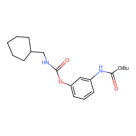 CC(C)COC(=O)Nc1cccc(OC(=O)NCC2CCCCC2)c1